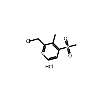 Cc1c(S(C)(=O)=O)ccnc1CCl.Cl